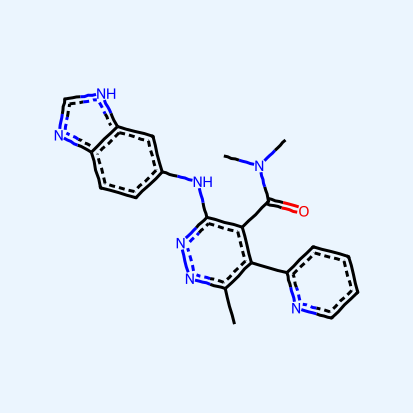 Cc1nnc(Nc2ccc3nc[nH]c3c2)c(C(=O)N(C)C)c1-c1ccccn1